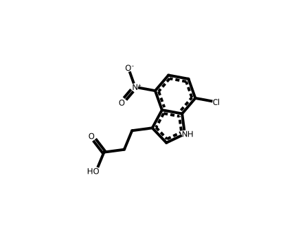 O=C(O)CCc1c[nH]c2c(Cl)ccc([N+](=O)[O-])c12